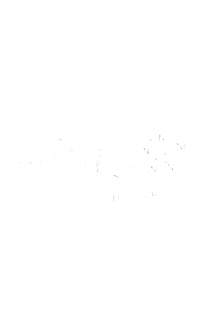 COc1cccc(C2COP(=S)(OC[C@H]3O[C@@H](n4cnc5c(N)ncnc54)[C@H](O)[C@@H]3O)O2)c1